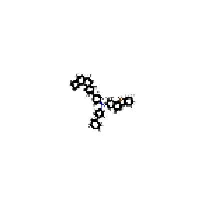 c1ccc(-c2ccc(N(c3ccc(-c4ccc5c(ccc6ccc7ccccc7c65)c4)cc3)c3ccc4c(ccc5c6ccccc6sc45)c3)cc2)cc1